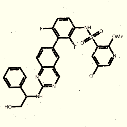 COc1ncc(Cl)cc1S(=O)(=O)Nc1ccc(F)c(-c2ccc3nc(NC(CO)c4ccccc4)ncc3c2)c1F